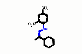 CC(=NNc1ccc([N+](=O)[O-])cc1[N+](=O)[O-])C1CCCCC1